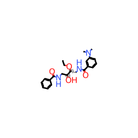 CCO[C@H](CNC(=O)c1cccc(N(C)C)c1)[C@@H](O)CNC(=O)c1ccccc1